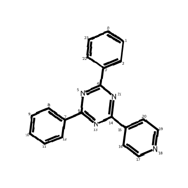 c1ccc(-c2nc(-c3ccccc3)nc(-c3ccncc3)n2)cc1